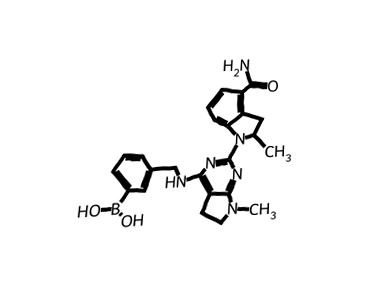 CC1Cc2c(C(N)=O)cccc2N1c1nc(NCc2cccc(B(O)O)c2)c2c(n1)N(C)CC2